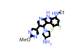 CCNc1cc(F)c(F)c2c1[nH]c1ncc(-c3cnc(OC)nc3)c(N3CCC(N)C3)c12